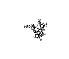 COc1ccc(CN2C(=O)[C@H](CC(=O)O)O[C@@H](c3cccc(OC)c3OC)c3cc(Cl)c(F)cc32)c(OC)c1